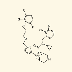 O=C(C1=C(c2cnc(COCCOc3c(F)ccc(F)c3Cl)s2)CC2CNCC1N2)N(Cc1cccc(Cl)c1Cl)C1CC1